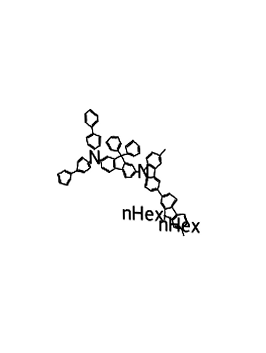 CCCCCCC1(CCCCCC)c2cc(C)ccc2-c2ccc(-c3ccc4c(c3)c3cc(C)ccc3n4-c3ccc4c(c3)C(c3ccccc3)(c3ccccc3)c3cc(N(c5ccc(-c6ccccc6)cc5)c5ccc(-c6ccccc6)cc5)ccc3-4)cc21